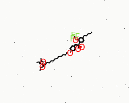 CCCCCc1ccc(-c2cc3ccc(OCCCCCCCCCCCC[Si](CCC)(OCC)OCC)cc3oc2=O)c(OC(F)(F)F)c1